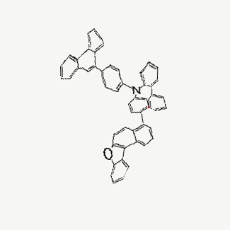 c1ccc(-c2ccccc2N(c2ccc(-c3cc4ccccc4c4ccccc34)cc2)c2ccc(-c3cccc4c3ccc3oc5ccccc5c34)cc2)cc1